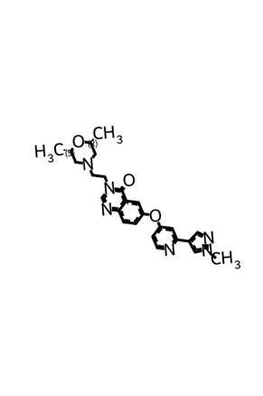 C[C@@H]1CN(CCn2cnc3ccc(Oc4ccnc(-c5cnn(C)c5)c4)cc3c2=O)C[C@H](C)O1